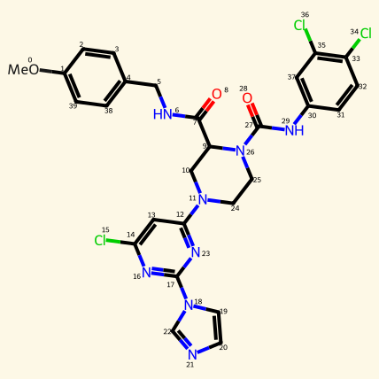 COc1ccc(CNC(=O)C2CN(c3cc(Cl)nc(-n4ccnc4)n3)CCN2C(=O)Nc2ccc(Cl)c(Cl)c2)cc1